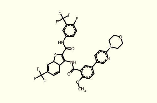 COc1ccc(-c2ccc(N3CCOCC3)nc2)cc1C(=O)NC1=C(C(=O)Nc2ccc(F)c(C(F)(F)F)c2)SC2C=C(C(F)(F)F)C=CC12